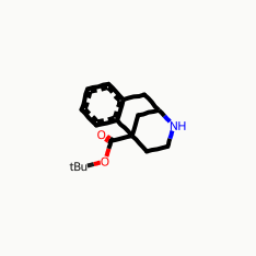 CC(C)(C)OC(=O)C12CCNC(Cc3ccccc31)C2